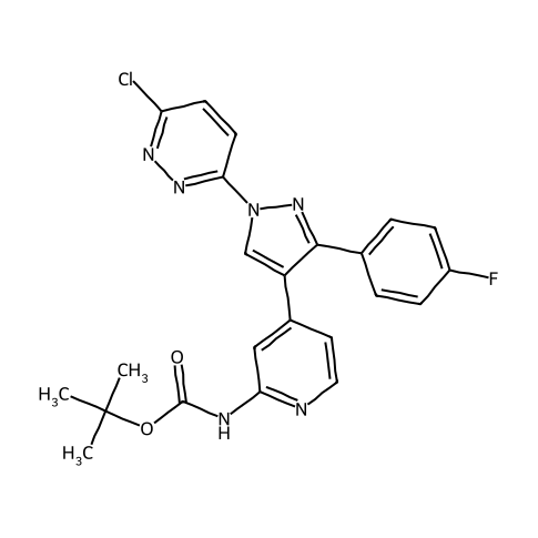 CC(C)(C)OC(=O)Nc1cc(-c2cn(-c3ccc(Cl)nn3)nc2-c2ccc(F)cc2)ccn1